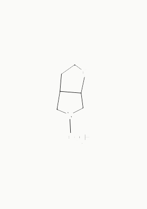 O=C(O)N1CC2CCOC2C1